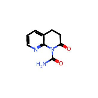 NC(=O)N1C(=O)[C]Cc2cccnc21